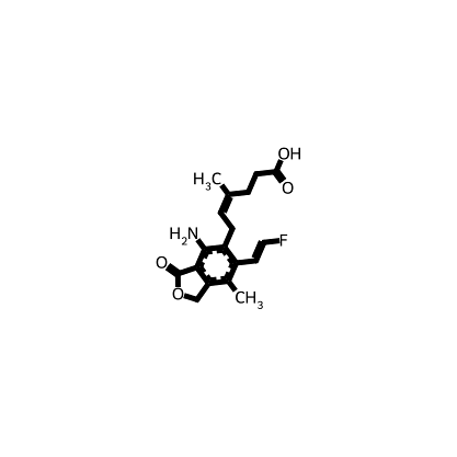 CC(=CCc1c(N)c2c(c(C)c1C=CF)COC2=O)CCC(=O)O